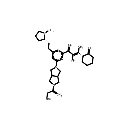 C=C1CCCC[C@@H]1/C(C)=C(\CCC)C(=N)c1nc(CC[C@@H]2CCCN2C)cc(N2CC3CN(C(=C)CC(C)(C)C)CC3C2)n1